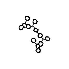 c1ccc(-c2cc3ccccc3c3ccc(N(c4ccccc4)c4ccc(-c5ccc(N(c6ccccc6)c6ccc7c(c6)c(-c6ccccc6)cc6ccccc67)cc5)cc4)cc23)cc1